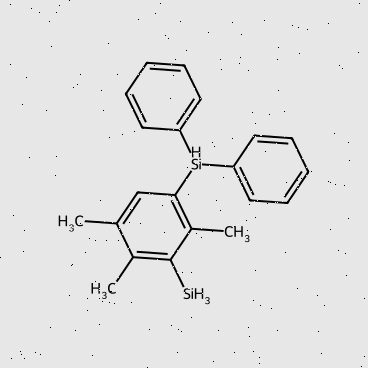 Cc1cc([SiH](c2ccccc2)c2ccccc2)c(C)c([SiH3])c1C